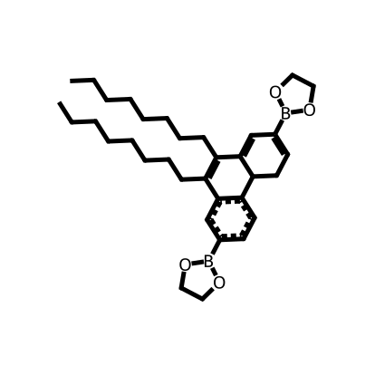 CCCCCCCCC1=C(CCCCCCCC)c2cc(B3OCCO3)ccc2C2CC=C(B3OCCO3)C=C12